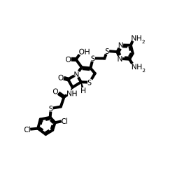 Nc1cc(N)nc(SCSC2=C(C(=O)O)N3C(=O)[C@@H](NC(=O)CSc4cc(Cl)ccc4Cl)[C@H]3SC2)n1